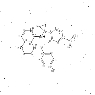 O=C(O)c1ccc(C2(Nc3nccc4c3N(Cc3ccc(F)cc3)CCO4)CC2)cc1